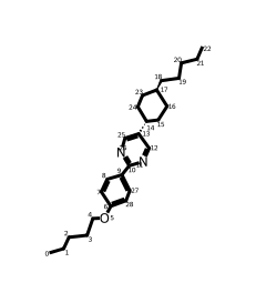 CCCCCOc1ccc(-c2ncc([C@H]3CC[C@H](CCCCC)CC3)cn2)cc1